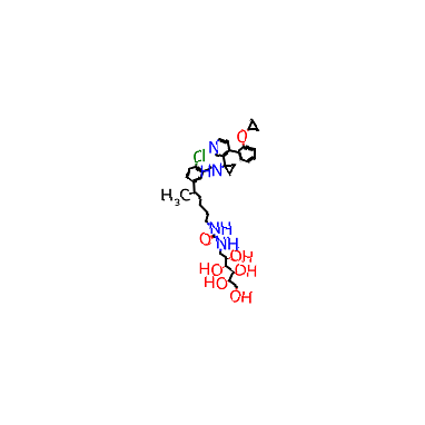 C[C@H](CCCCNC(=O)NC[C@H](O)[C@@H](O)[C@H](O)[C@H](O)CO)c1ccc(Cl)c(CNC2(c3cnccc3-c3ccccc3OC3CC3)CC2)c1